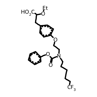 CCOC(Cc1ccc(OCCN(CCCCCC(F)(F)F)C(=O)Oc2ccccc2)cc1)C(=O)O